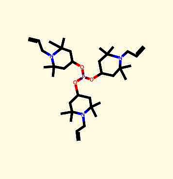 C=CCN1C(C)(C)CC(OP(OC2CC(C)(C)N(CC=C)C(C)(C)C2)OC2CC(C)(C)N(CC=C)C(C)(C)C2)CC1(C)C